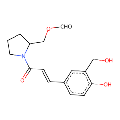 O=COCC1CCCN1C(=O)/C=C/c1ccc(O)c(CO)c1